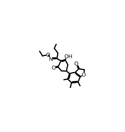 CCCC(=NOCC)C1=C(O)CC(c2c(C)c(C)c(C)c3c2C(=O)CO3)CC1=O